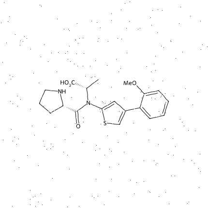 COc1ccccc1-c1csc(N(C(=O)[C@@H]2CCCN2)[C@@H](C)C(=O)O)c1